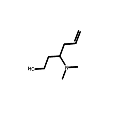 C=CC[C](CCO)N(C)C